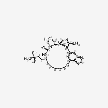 CCN1C(=O)N[C@@H](CCC(C)(F)F)CCCCCOc2nc(cn3ncnc23)-c2cc(cnc2C)[C@H]1C